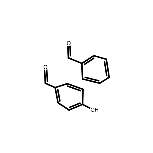 O=Cc1ccc(O)cc1.O=Cc1ccccc1